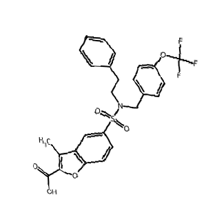 Cc1c(C(=O)O)oc2ccc(S(=O)(=O)N(CCc3ccccc3)Cc3ccc(OC(F)(F)F)cc3)cc12